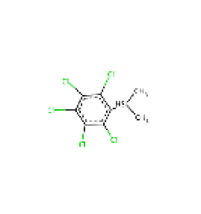 C[SiH](C)c1c(Cl)c(Cl)c(Cl)c(Cl)c1Cl